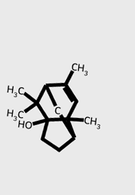 CC1=CC2(C)C3CCC2(O)C(C)(C)C1C3